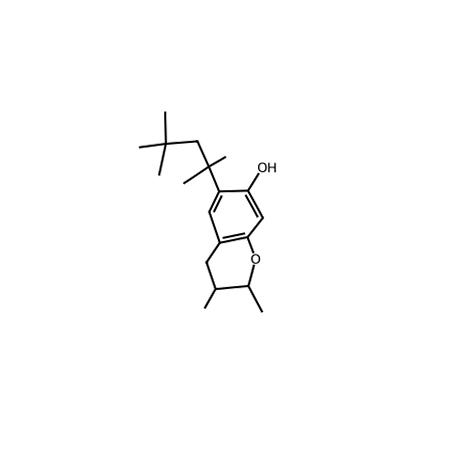 CC1Cc2cc(C(C)(C)CC(C)(C)C)c(O)cc2OC1C